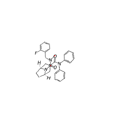 CN(Cc1ccccc1F)C(=O)N1[C@@H]2CC[C@H]1CN(C(=O)N(c1ccccc1)c1ccccc1)C2